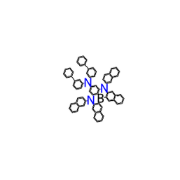 c1ccc(-c2cccc(N(c3cccc(-c4ccccc4)c3)c3cc4c5c(c3)N(c3ccc6ccccc6c3)c3cc6ccccc6cc3B5c3cc5ccccc5cc3N4c3ccc4ccccc4c3)c2)cc1